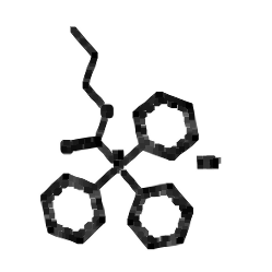 Br.CCCOC(=O)[PH](c1ccccc1)(c1ccccc1)c1ccccc1